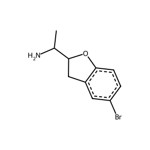 CC(N)C1Cc2cc(Br)ccc2O1